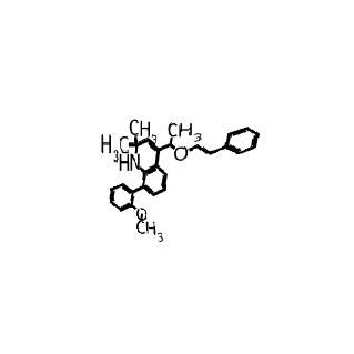 COc1ccccc1-c1cccc2c1NC(C)(C)C=C2C(C)OCCc1ccccc1